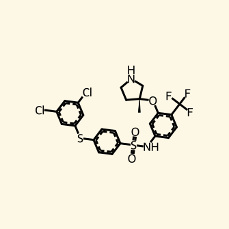 C[C@@]1(Oc2cc(NS(=O)(=O)c3ccc(Sc4cc(Cl)cc(Cl)c4)cc3)ccc2C(F)(F)F)CCNC1